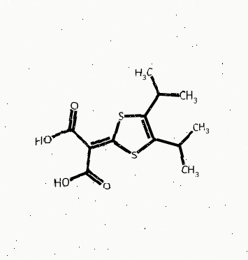 CC(C)C1=C(C(C)C)SC(=C(C(=O)O)C(=O)O)S1